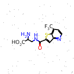 NC(CNC(=O)c1cc2nccc(C(F)(F)F)c2s1)C(=O)O